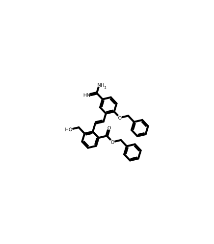 N=C(N)c1ccc(OCc2ccccc2)c(C=Cc2c(CO)cccc2C(=O)OCc2ccccc2)c1